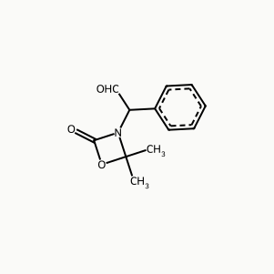 CC1(C)OC(=O)N1C(C=O)c1ccccc1